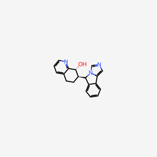 O[C@H]1c2ncccc2CC[C@@H]1C1c2ccccc2-c2cncn21